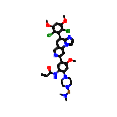 C=CC(=O)Nc1cc(-c2cc3c(cn2)cc(-c2c(Cl)c(OC)cc(OC)c2Cl)c2nccn23)c(OC)cc1N1CCN(SN(C)C)CC1